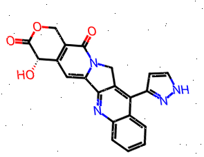 O=C1OCc2c(cc3n(c2=O)Cc2c-3nc3ccccc3c2-c2cc[nH]n2)[C@@H]1O